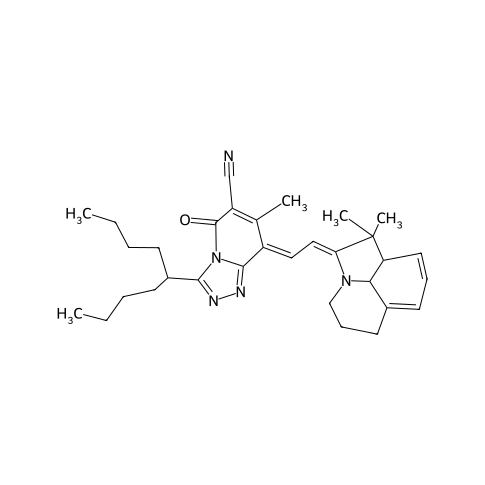 CCCCC(CCCC)c1nnc2/c(=C/C=C3\N4CCCC5=CC=CC(C54)C3(C)C)c(C)c(C#N)c(=O)n12